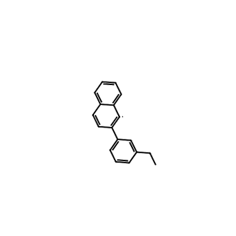 CCc1cccc(-c2[c]c3ccccc3cc2)c1